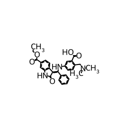 CCOC(=O)c1ccc2c(c1)NC(=O)C2=C(Nc1ccc(CN(C)C)c(C(=O)O)c1)c1ccccc1